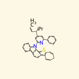 C/C=C\C(c1cc(-c2ccccc2)nc(-n2c3ccccc3c3ccc4c5c(sc4c32)C=CCC=C5)c1)C(C)C